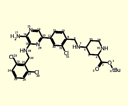 CC(C)(C)OC(=O)C1CC(NCc2ccc(-c3cnc(N)c(NCc4c(Cl)cccc4Cl)n3)cc2Cl)CCN1